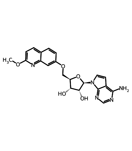 COc1ccc2ccc(OC[C@H]3O[C@@H](n4ccc5c(N)ncnc54)[C@H](O)[C@@H]3O)cc2n1